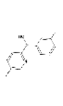 Cc1ccc(C(O)c2cccc(F)c2)nc1